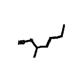 CCCCC(C)[N]O